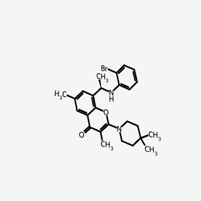 Cc1cc([C@@H](C)Nc2ccccc2Br)c2oc(N3CCC(C)(C)CC3)c(C)c(=O)c2c1